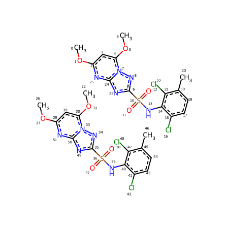 COc1cc(OC)n2nc(S(=O)(=O)Nc3c(Cl)ccc(C)c3Cl)nc2n1.COc1cc(OC)n2nc(S(=O)(=O)Nc3c(Cl)ccc(C)c3Cl)nc2n1